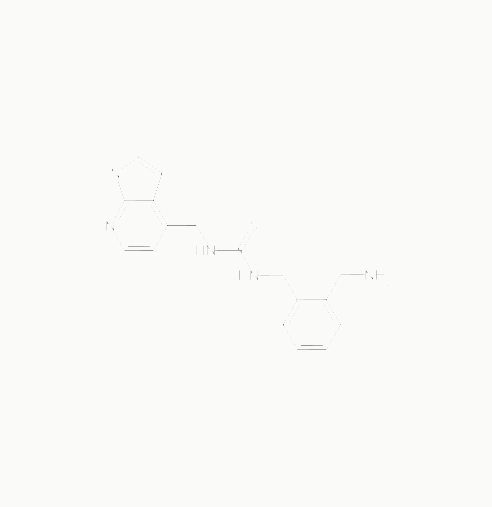 NCc1ccccc1CNC(=S)NCc1ccnc2[nH]ccc12